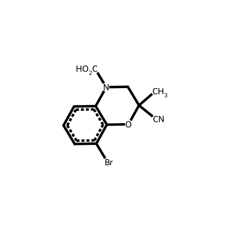 CC1(C#N)CN(C(=O)O)c2cccc(Br)c2O1